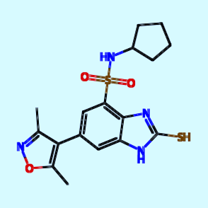 Cc1noc(C)c1-c1cc(S(=O)(=O)NC2CCCC2)c2nc(S)[nH]c2c1